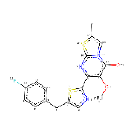 CCCCOc1c(-c2ncc(Cc3ccc(F)cc3)s2)nc2sc(C)cn2c1=O